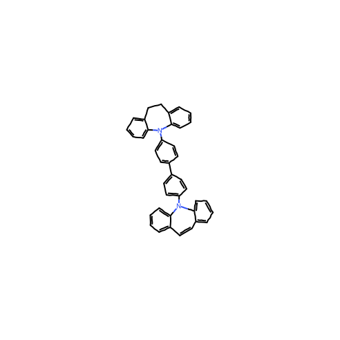 C1=Cc2ccccc2N(c2ccc(-c3ccc(N4c5ccccc5CCc5ccccc54)cc3)cc2)c2ccccc21